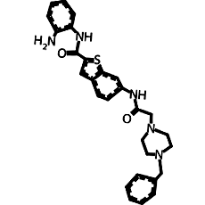 Nc1ccccc1NC(=O)c1cc2ccc(NC(=O)CN3CCN(Cc4ccccc4)CC3)cc2s1